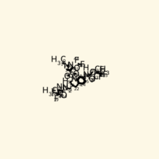 CCn1cc(S(=O)(=O)N2C[C@H](CNC(=O)C(C)(N)C(F)(F)F)Cc3ccc(NC(=O)OC(C)(C)C(F)(F)F)cc32)c(OC(F)F)n1